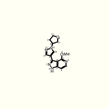 COc1nccc2[nH]nc(-c3cnn(C4CCOC4)c3)c12